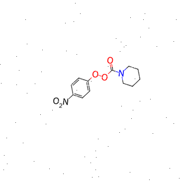 O=C(OOc1ccc([N+](=O)[O-])cc1)N1CCCCC1